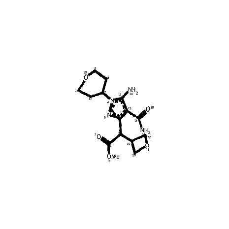 COC(=O)C(c1nn(C2CCOCC2)c(N)c1C(N)=O)C1COC1